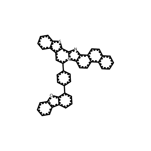 c1ccc2c(c1)ccc1c2ccc2c1nc1c3sc4ccccc4c3cc(-c3ccc(-c4cccc5c4oc4ccccc45)cc3)n21